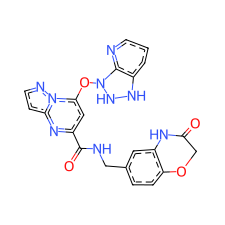 O=C1COc2ccc(CNC(=O)c3cc(ON4NNc5cccnc54)n4nccc4n3)cc2N1